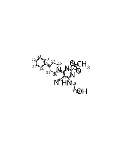 CS(=O)(=O)c1nc(NCCO)c(C#N)c(N2CCC(c3ccccc3)CC2)n1